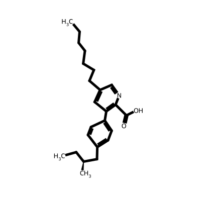 CCCCCCCc1cnc(C(=O)O)c(-c2ccc(C[C@@H](C)CC)cc2)c1